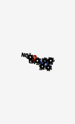 N#Cc1ccc(S(=O)(=O)c2ccc(-n3c4ccccc4c4c3ccc3c5ccccc5n(-c5ccccc5)c34)cc2)c(C#N)c1